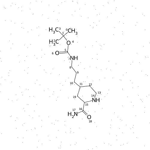 CC(C)(C)OC(=O)NCCCC1CCNC(C(N)=O)C1